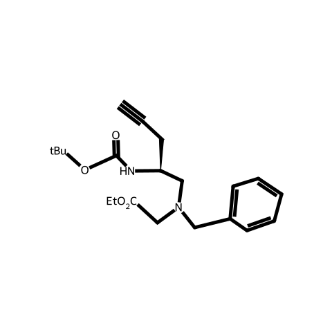 C#CC[C@@H](CN(CC(=O)OCC)Cc1ccccc1)NC(=O)OC(C)(C)C